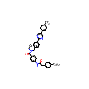 COc1ccc(CC(=O)Nc2ccc(C(=O)N(CC(=O)O)Cc3ccc(-c4ncc(C5=CCC(C(F)(F)F)CC5)cn4)cc3)cc2)cc1